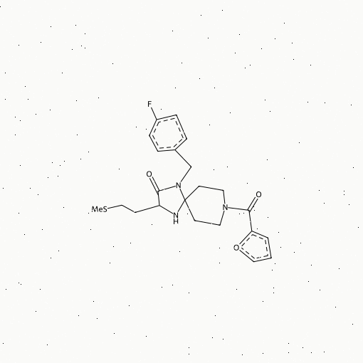 CSCCC1NC2(CCN(C(=O)c3ccco3)CC2)N(Cc2ccc(F)cc2)C1=O